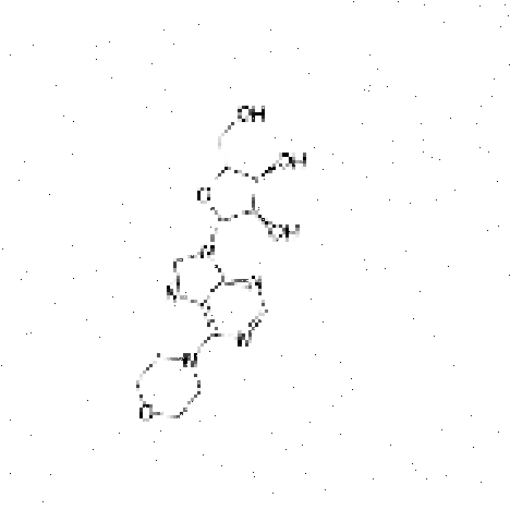 OC[C@H]1O[C@@H](n2cnc3c(N4CCOCC4)ncnc32)[C@H](O)[C@@H]1O